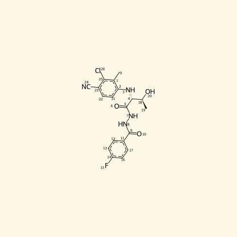 Cc1c(N[C@@H](C(=O)NNC(=O)c2ccc(F)cc2)[C@H](C)O)ccc(C#N)c1Cl